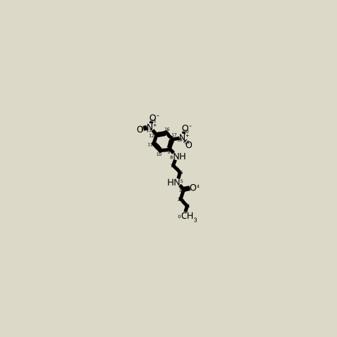 CCCC(=O)NCCNc1ccc([N+](=O)[O-])cc1[N+](=O)[O-]